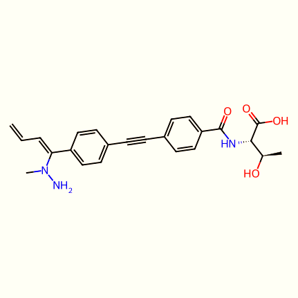 C=C/C=C(/c1ccc(C#Cc2ccc(C(=O)N[C@H](C(=O)O)[C@@H](C)O)cc2)cc1)N(C)N